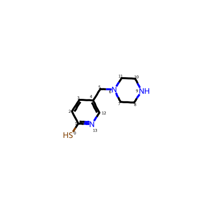 Sc1ccc(CN2CCNCC2)cn1